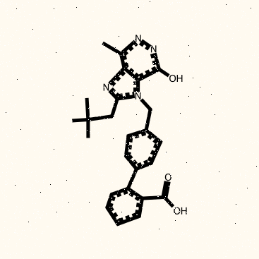 Cc1nnc(O)c2c1nc(CC(C)(C)C)n2Cc1ccc(-c2ccccc2C(=O)O)cc1